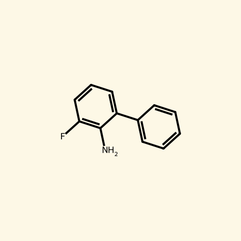 Nc1c(F)cccc1-c1ccccc1